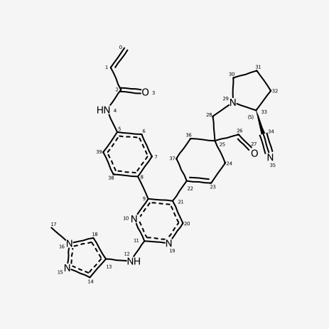 C=CC(=O)Nc1ccc(-c2nc(Nc3cnn(C)c3)ncc2C2=CCC(C=O)(CN3CCC[C@H]3C#N)CC2)cc1